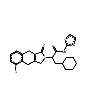 O=C(Nc1nccs1)C(CC1CCCCC1)N1CC2=C(Oc3cccc(Cl)c3C2)C1=O